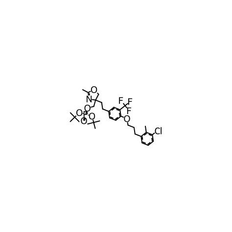 CC1=NC(CCc2ccc(OCCCc3cccc(Cl)c3C)c(C(F)(F)F)c2)(COP(=O)(OC(C)(C)C)OC(C)(C)C)CO1